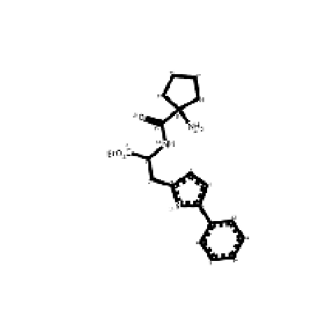 CCOC(=O)C(Cc1ccc(-c2ccccc2)s1)NC(=O)C1(N)CCCC1